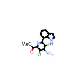 COC(=O)c1nc(-c2cccc3cc[nH]c23)c(F)c(N)c1Cl